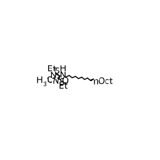 CCCCCCCCC=CCCCCCCCC(=O)Nc1c(SCC)nc(C)nc1SCC